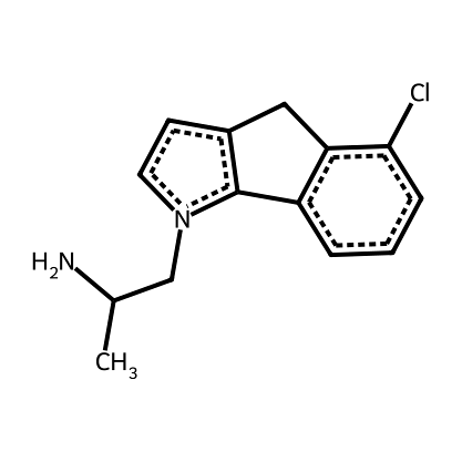 CC(N)Cn1ccc2c1-c1cccc(Cl)c1C2